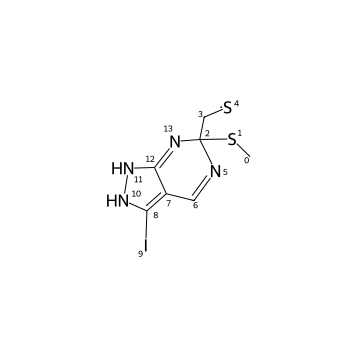 CSC1(C[S])N=CC2=C(I)NNC2=N1